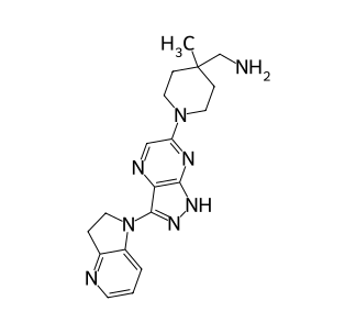 CC1(CN)CCN(c2cnc3c(N4CCc5ncccc54)n[nH]c3n2)CC1